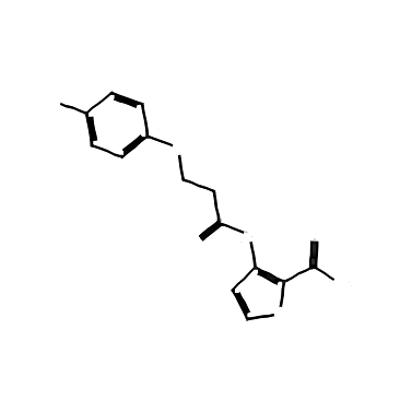 COC(=O)c1sccc1NC(=O)CCSc1ccc(Br)cc1